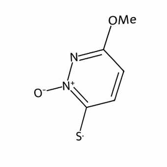 COc1ccc([S])[n+]([O-])n1